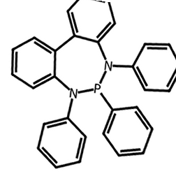 c1ccc(-n2c3ccccc3c3ccccc3n(-c3ccccc3)p2-c2ccccc2)cc1